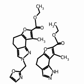 CCOC(=O)c1oc2c(c1C)-c1[nH]ncc1CC2.CCOC(=O)c1oc2c(c1C)-c1nn(Cc3ncco3)cc1CC2